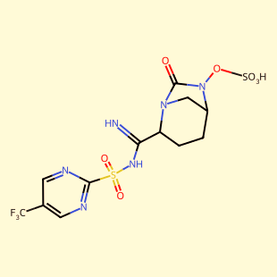 N=C(NS(=O)(=O)c1ncc(C(F)(F)F)cn1)C1CCC2CN1C(=O)N2OS(=O)(=O)O